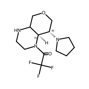 O=C(N1CCNC2COC[C@H](N3CCCC3)[C@H]21)C(F)(F)F